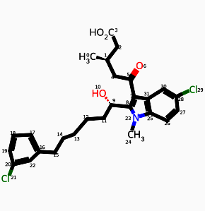 C[C@@H](CC(=O)O)CC(=O)c1c([C@@H](O)CCCCCc2cccc(Cl)c2)n(C)c2ccc(Cl)cc12